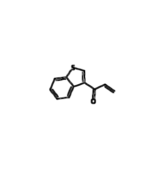 C=CC(=O)c1csc2ccccc12